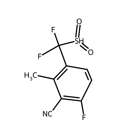 Cc1c(C(F)(F)[SH](=O)=O)ccc(F)c1C#N